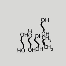 C=CC.OCCO.OCCO.OCCO.OCCO